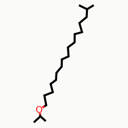 CC(C)CCCCCCCCCCCCCCCOC(C)C